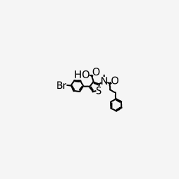 CN(C(=O)CCc1ccccc1)c1scc(-c2ccc(Br)cc2)c1C(=O)O